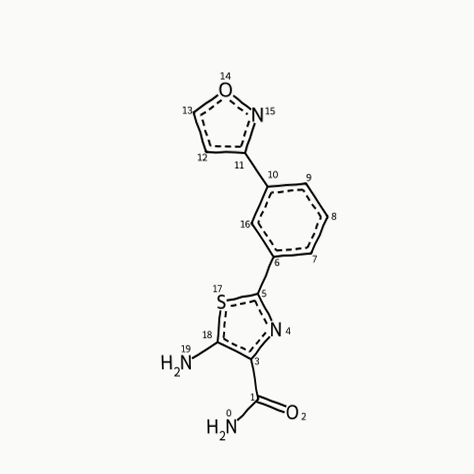 NC(=O)c1nc(-c2cccc(-c3ccon3)c2)sc1N